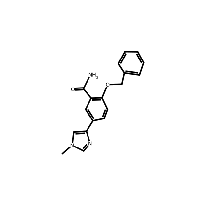 Cn1cnc(-c2ccc(OCc3ccccc3)c(C(N)=O)c2)c1